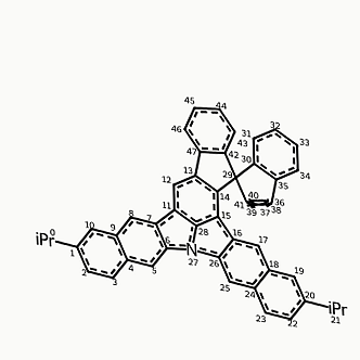 CC(C)c1ccc2cc3c(cc2c1)c1cc2c(c4c5cc6cc(C(C)C)ccc6cc5n3c14)C1(c3ccccc3-c3ccccc31)c1ccccc1-2